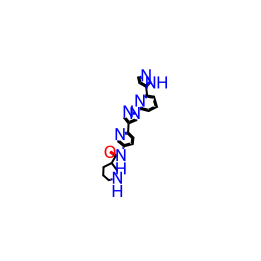 O=C(Nc1ccc(-c2cnn(-c3cccc(-c4ccn[nH]4)n3)c2)nc1)C1CCCNC1